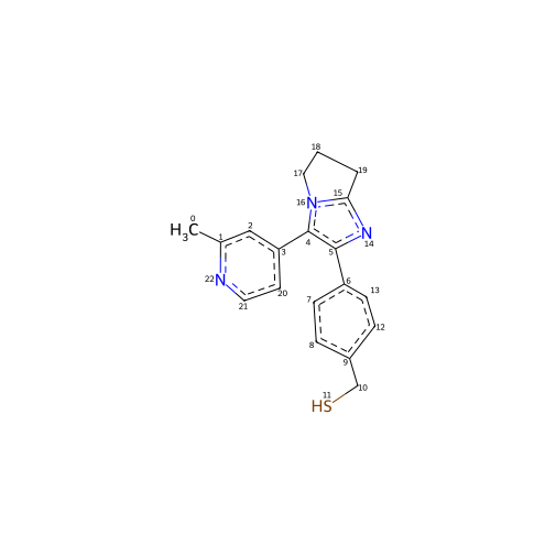 Cc1cc(-c2c(-c3ccc(CS)cc3)nc3n2CCC3)ccn1